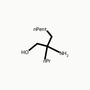 CCCCCCC(N)(CO)CCC